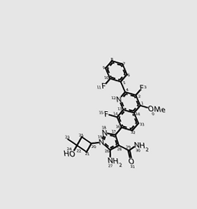 COc1c(F)c(-c2ccccc2F)nc2c(F)c(-c3nn(C4CC(C)(O)C4)c(N)c3C(N)=O)ccc12